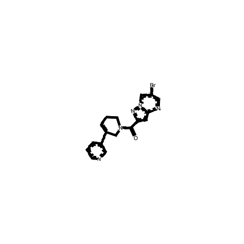 O=C(c1cc2ncc(Br)cn2n1)N1CCC=C(c2cccnc2)C1